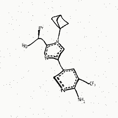 CC(C)[C@H](O)c1nc(-c2cnc(N)c(C(F)(F)F)c2)cn1C12CC(C1)C2